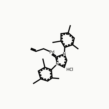 C=C[CH2][Pd]=[c]1n(-c2c(C)cc(C)cc2C)ccn1-c1c(C)cc(C)cc1C.Cl